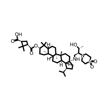 CC(C)[C@@H]1CC[C@]2(NC[C@@H]([C@@H](C)O)N3CCS(=O)(=O)CC3)CC[C@]3(C)[C@H](CC[C@@H]4[C@@]5(C)CC[C@H](OC(=O)[C@@H]6C[C@H](C(=O)O)C6(C)C)C(C)(C)[C@@H]5CC[C@]43C)[C@@H]12